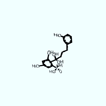 O=P(O)(O)c1cc(O)cc(O)c1C(O)(O)CCCc1cccc(O)c1